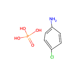 Nc1ccc(Cl)cc1.O=P(O)(O)O